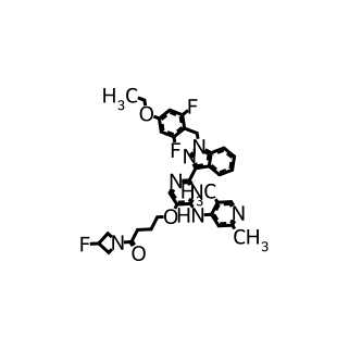 CCOc1cc(F)c(Cn2nc(-c3ncc(OCCCC(=O)N4CC(F)C4)c(Nc4cc(C)ncc4C)n3)c3ccccc32)c(F)c1